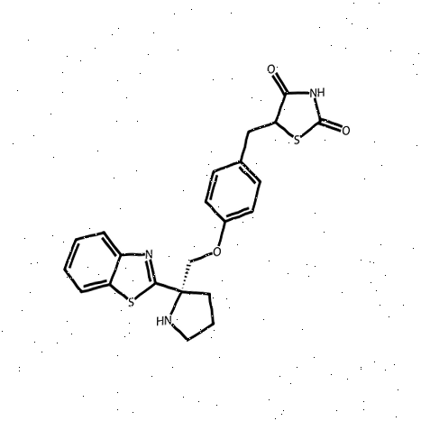 O=C1NC(=O)C(Cc2ccc(OC[C@]3(c4nc5ccccc5s4)CCCN3)cc2)S1